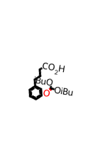 CC(C)COC(=O)OCC(C)C.O=C(O)CCCc1ccccc1